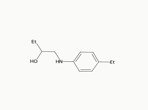 CCc1ccc(NCC(O)CC)cc1